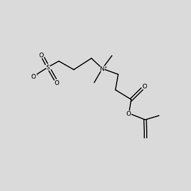 C=C(C)OC(=O)CC[N+](C)(C)CCCS(=O)(=O)[O-]